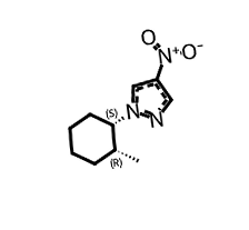 C[C@@H]1CCCC[C@@H]1n1cc([N+](=O)[O-])cn1